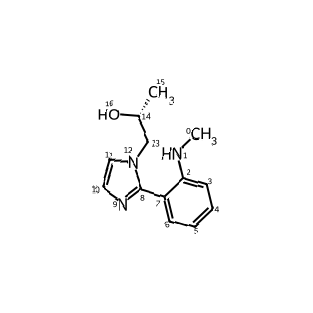 CNc1ccccc1-c1nccn1C[C@@H](C)O